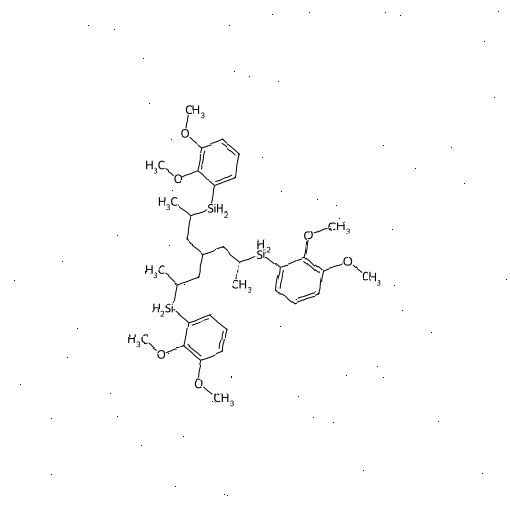 COc1cccc([SiH2]C(C)CC(CC(C)[SiH2]c2cccc(OC)c2OC)CC(C)[SiH2]c2cccc(OC)c2OC)c1OC